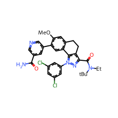 CCN(C(=O)c1nn(-c2cc(Cl)cc(Cl)c2)c2c1CCc1cc(OC)c(-c3cncc(C(N)=O)c3)cc1-2)C(C)(C)C